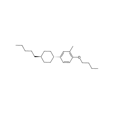 CCCCC[C@H]1CC[C@H](c2ccc(OCCCC)c(C)c2)CC1